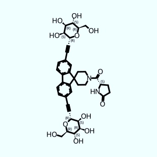 O=C1CC[C@@H](C(=O)N2CCC3(CC2)c2cc(C#C[C@H]4O[C@H](CO)[C@@H](O)[C@H](O)[C@@H]4O)ccc2-c2ccc(C#C[C@H]4O[C@H](CO)[C@@H](O)[C@H](O)[C@@H]4O)cc23)N1